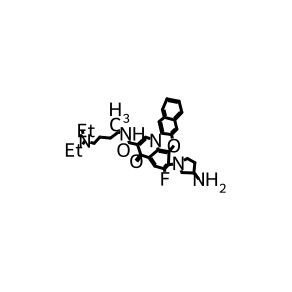 CCN(CC)CCCC(C)NC(=O)c1cn2c3c(c(N4CCC(N)C4)c(F)cc3c1=O)Oc1cc3ccccc3cc1-2